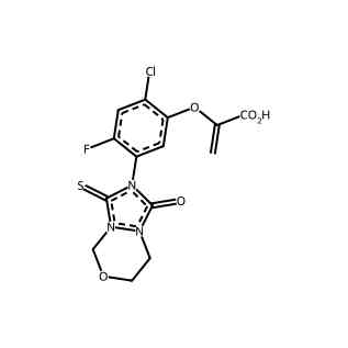 C=C(Oc1cc(-n2c(=O)n3n(c2=S)COCC3)c(F)cc1Cl)C(=O)O